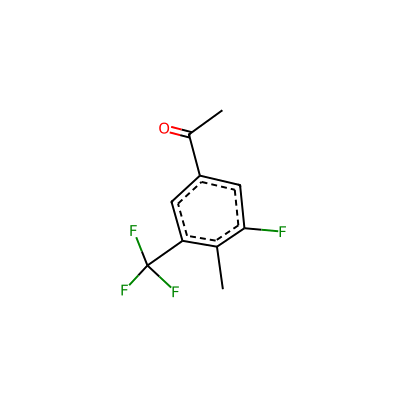 CC(=O)c1cc(F)c(C)c(C(F)(F)F)c1